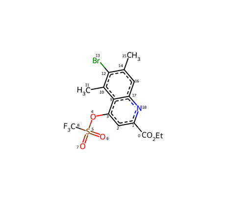 CCOC(=O)c1cc(OS(=O)(=O)C(F)(F)F)c2c(C)c(Br)c(C)cc2n1